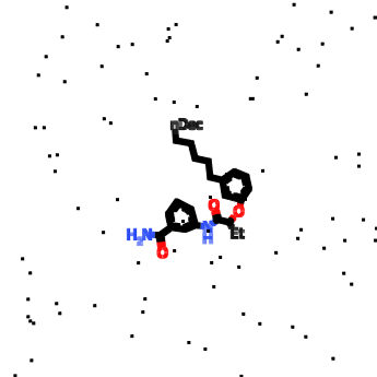 CCCCCCCCCCCCCCCc1cccc(OC(CC)C(=O)Nc2cccc(C(N)=O)c2)c1